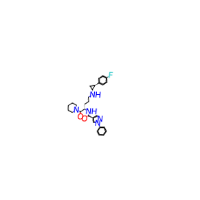 O=C(N[C@@H](CCCN[C@@H]1C[C@H]1c1ccc(F)cc1)C(=O)N1CCCCC1)c1cnn(-c2ccccc2)c1